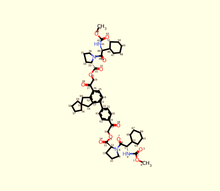 COC(=O)N[C@H](C(=O)N1CCC[C@H]1C(=O)OCC(=O)c1ccc(-c2ccc(C(=O)COC(=O)[C@@H]3CCCN3C(=O)[C@@H](NC(=O)OC)C3CCCCC3)c3c2CC2(CCCC2)C3)cc1)C1CCCCC1